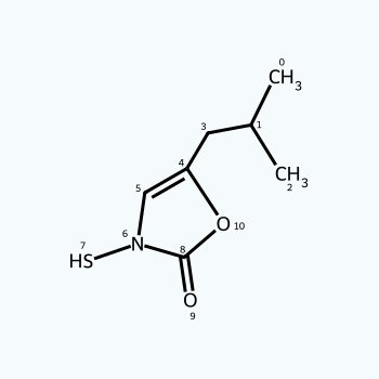 CC(C)Cc1cn(S)c(=O)o1